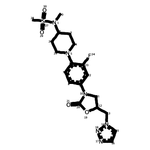 CN(C1CCN(c2ccc(N3CC(Cn4ccnn4)OC3=O)cc2F)CC1)S(C)(=O)=O